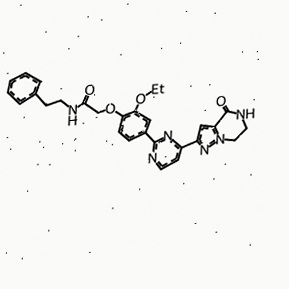 CCOc1cc(-c2nccc(-c3cc4n(n3)CCNC4=O)n2)ccc1OCC(=O)NCCc1ccccc1